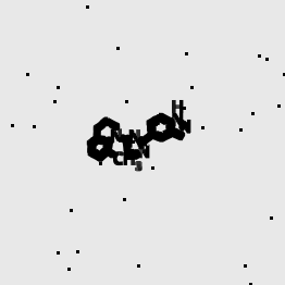 Cc1cccc2c1N(c1ccnc(-c3ccc4[nH]ncc4c3)n1)CCC2